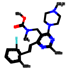 COc1nc(/C=C/c2c(F)cccc2OC)c(CN(C)C(=O)OC(C)(C)C)c(N2CCN(C(=O)O)CC2)n1